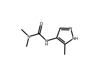 Cc1[nH]ncc1NC(=O)N(C)C